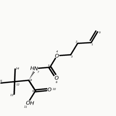 C=CCCOC(=O)N[C@H](C(=O)O)C(C)(C)C